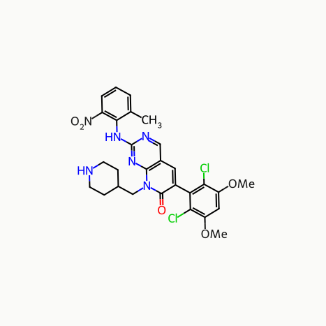 COc1cc(OC)c(Cl)c(-c2cc3cnc(Nc4c(C)cccc4[N+](=O)[O-])nc3n(CC3CCNCC3)c2=O)c1Cl